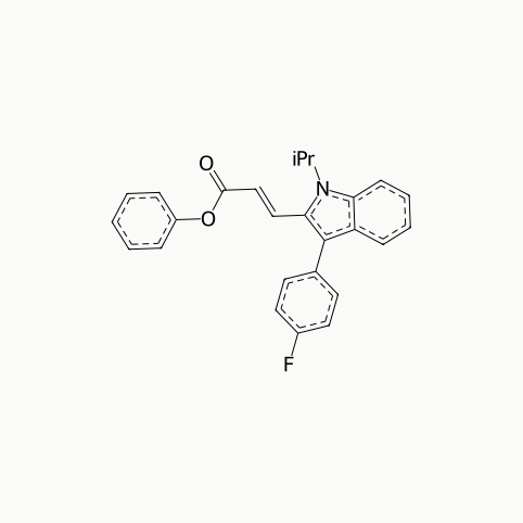 CC(C)n1c(C=CC(=O)Oc2ccccc2)c(-c2ccc(F)cc2)c2ccccc21